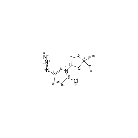 [N-]=[N+]=NC1=CN(C2CCC(F)(F)C2)C(Cl)C=C1